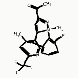 Cc1cc(C(F)(F)F)ncc1C1=CC(C(=O)O)=N[N+]1(C)c1c(F)cccc1F